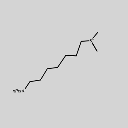 CCCCCCCCCCCC[S+](C)C